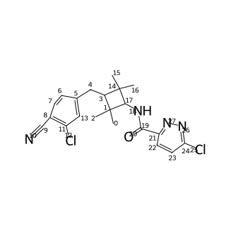 CC1(C)C(Cc2ccc(C#N)c(Cl)c2)C(C)(C)C1NC(=O)c1ccc(Cl)nn1